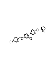 CN1CCC[C@H]1COc1ccc(-n2ccc(OCc3ccc(Cl)cn3)cc2=O)cc1